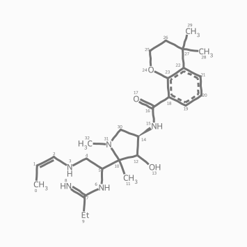 C/C=C\NCC(NC(=N)CC)C1(C)C(O)[C@H](NC(=O)c2cccc3c2OCCC3(C)C)CN1C